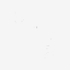 COc1ccc(Cl)cc1[C@@H]1C[C@H]1CNCC[C@H]1CC[C@H](NC(=O)N(C)C)CC1